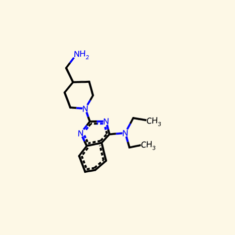 CCN(CC)c1nc(N2CCC(CN)CC2)nc2ccccc12